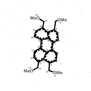 COCc1ccc2c3ccc(COC)c4c(COC)ccc(c5ccc(COC)c1c25)c43